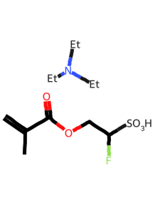 C=C(C)C(=O)OCC(F)S(=O)(=O)O.CCN(CC)CC